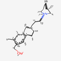 Cc1cc2c(cc1CO)CCC(CCN1CCCC1)=C2